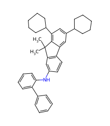 CC1(C)c2cc(Nc3ccccc3-c3ccccc3)ccc2-c2cc(C3CCCCC3)cc(C3CCCCC3)c21